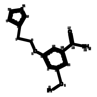 CC(C)Oc1cc(OCCc2ccsc2)cc(C(N)=O)c1